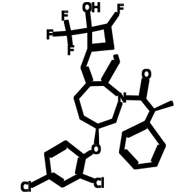 C/C=C1\C(=C/C2=C=C(F)C2(O)C(F)(F)F)CC[C@H](Oc2ccc(Cl)cc2Cl)CN1C(=O)[C@@H](C)c1ccccc1